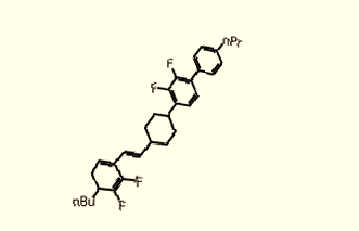 CCCCC1CC=C(/C=C/C2CCC(c3ccc(-c4ccc(CCC)cc4)c(F)c3F)CC2)C(F)=C1F